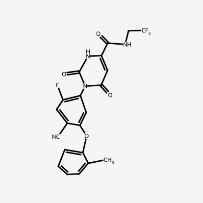 Cc1ccccc1Oc1cc(-n2c(=O)cc(C(=O)NCC(F)(F)F)[nH]c2=O)c(F)cc1C#N